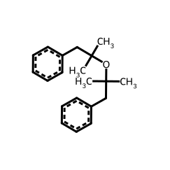 CC(C)(Cc1ccccc1)OC(C)(C)Cc1ccccc1